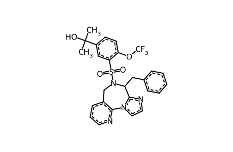 CC(C)(O)c1ccc(OC(F)(F)F)c(S(=O)(=O)N2Cc3cccnc3-n3ccnc3C2Cc2ccccc2)c1